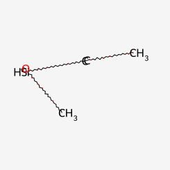 CCCCCCCCCCCCCCCCCCCCCCCCCCCCCCCCCCCCCCCCCCCCCCCCCC[SiH](CCCCCCCCCCCCCCCCCCCCCCCCC)C1CCCCO1